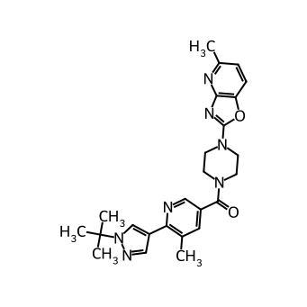 Cc1ccc2oc(N3CCN(C(=O)c4cnc(-c5cnn(C(C)(C)C)c5)c(C)c4)CC3)nc2n1